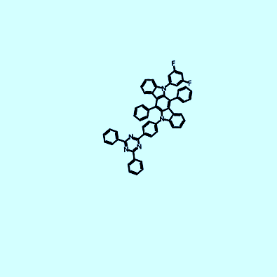 Fc1cc(F)cc(-n2c3ccccc3c3c(-c4ccccc4)c4c(c(-c5ccccc5)c32)c2ccccc2n4-c2ccc(-c3nc(-c4ccccc4)nc(-c4ccccc4)n3)cc2)c1